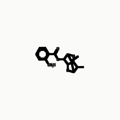 CC1C2OC3C(OC1C3OC(=O)c1c#cccc1C(=O)O)C2C